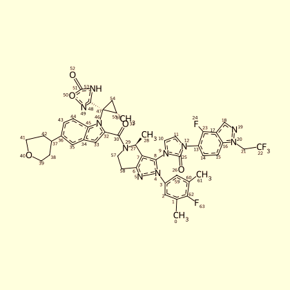 Cc1cc(-n2nc3c(c2-n2ccn(-c4ccc5c(cnn5CC(F)(F)F)c4F)c2=O)[C@H](C)N(C(=O)c2cc4cc(C5CCOCC5)ccc4n2[C@@]2(c4noc(=O)[nH]4)C[C@@H]2C)CC3)cc(C)c1F